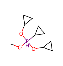 CO[PH](OC1CC1)(OC1CC1)C1CC1